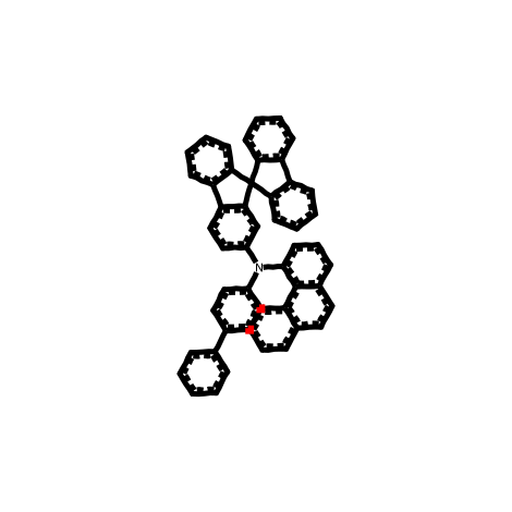 c1ccc(-c2ccc(N(c3ccc4c(c3)C3(c5ccccc5-c5ccccc53)c3ccccc3-4)c3cccc4ccc5cccnc5c34)cc2)cc1